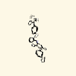 CC(C)NC(=O)c1ccc(Oc2ccccc2/C=C2/CC(=O)N(c3cccc(Cl)c3)C2=O)cc1